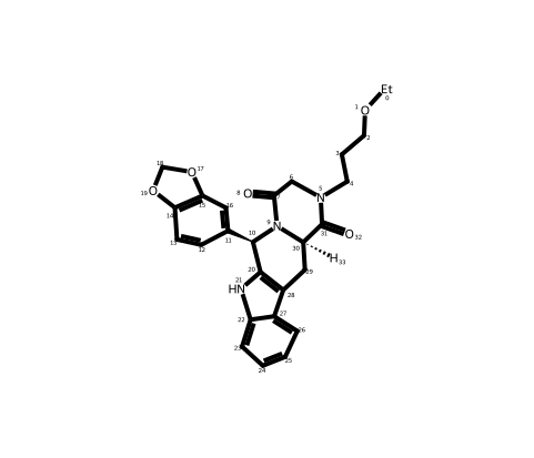 CCOCCCN1CC(=O)N2[C@H](c3ccc4c(c3)OCO4)c3[nH]c4ccccc4c3C[C@@H]2C1=O